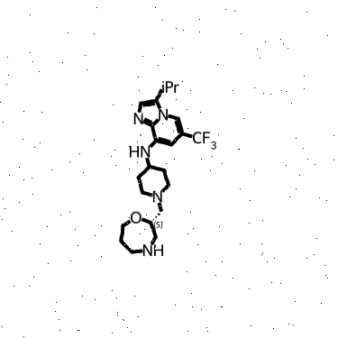 CC(C)c1cnc2c(NC3CCN(C[C@@H]4CNCCCO4)CC3)cc(C(F)(F)F)cn12